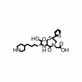 O=C(O)CN1CC(c2cccs2)SCC(N[C@H](CCCCC2CCNCC2)C(=O)O)C1=O